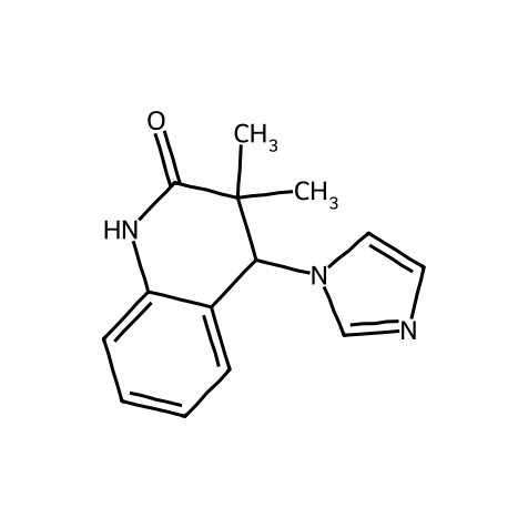 CC1(C)C(=O)Nc2ccccc2C1n1ccnc1